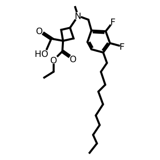 CCCCCCCCCCc1ccc(CN(C)C2CC(C(=O)O)(C(=O)OCC)C2)c(F)c1F